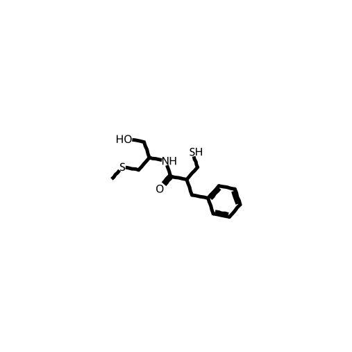 CSCC(CO)NC(=O)C(CS)Cc1ccccc1